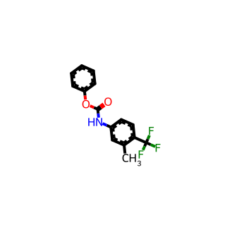 Cc1cc(NC(=O)Oc2ccccc2)ccc1C(F)(F)F